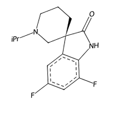 CC(C)N1CCC[C@@]2(C1)C(=O)Nc1c(F)cc(F)cc12